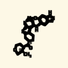 COc1cc2[nH]ncc2cc1Nc1ncnc2sc3c(c12)CC[C@H](C(=O)N1CCOC[C@@H]1C)C3